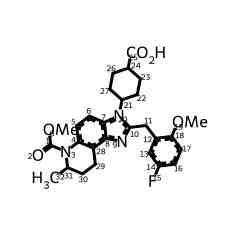 COC(=O)N1c2ccc3c(nc(Cc4cc(F)ccc4OC)n3C3CCC(C(=O)O)CC3)c2CCC1C